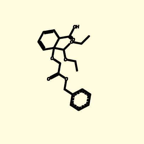 CCOC(OCC)C1(OCC(=O)OCc2ccccc2)C=CC=CC1C(=O)O